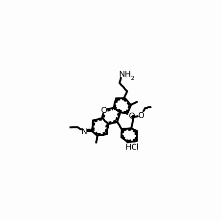 CCN=c1cc2oc3cc(CCN)c(C)cc3c(-c3ccccc3C(=O)OCC)c-2cc1C.Cl